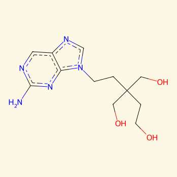 Nc1ncc2ncn(CCC(CO)(CO)CCO)c2n1